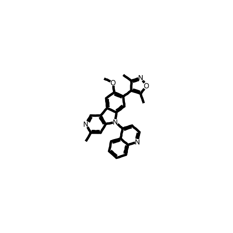 COc1cc2c3cnc(C)cc3n(-c3ccnc4ccccc34)c2cc1-c1c(C)noc1C